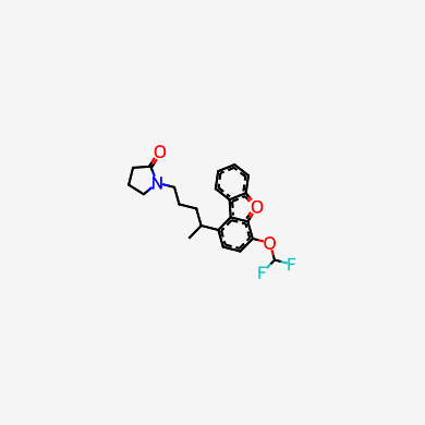 CC(CCCN1CCCC1=O)c1ccc(OC(F)F)c2oc3ccccc3c12